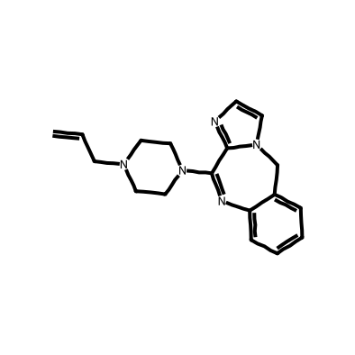 C=CCN1CCN(C2=Nc3ccccc3Cn3ccnc32)CC1